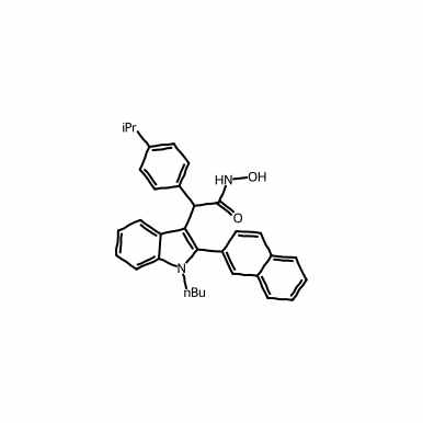 CCCCn1c(-c2ccc3ccccc3c2)c(C(C(=O)NO)c2ccc(C(C)C)cc2)c2ccccc21